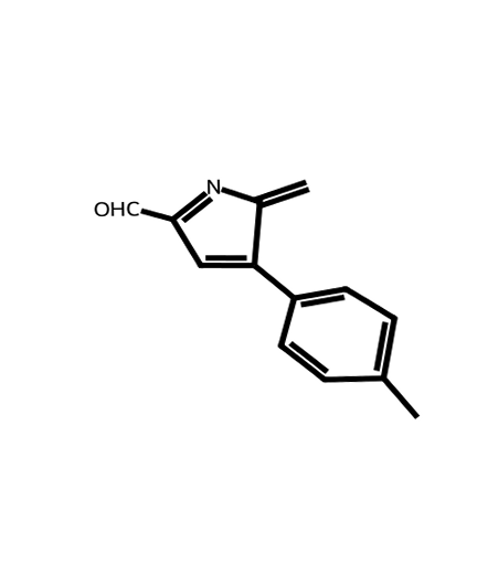 C=C1N=C(C=O)C=C1c1ccc(C)cc1